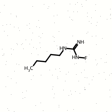 CCCCCNC(=N)NF